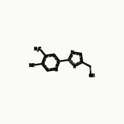 Cc1cc(-c2ncc(CO)s2)ncc1C#N